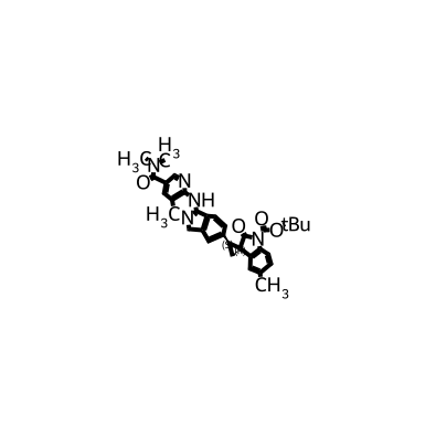 Cc1ccc2c(c1)[C@]1(C[C@H]1c1ccc3c(c1)CN=C3Nc1ncc(C(=O)N(C)C)cc1C)C(=O)N2C(=O)OC(C)(C)C